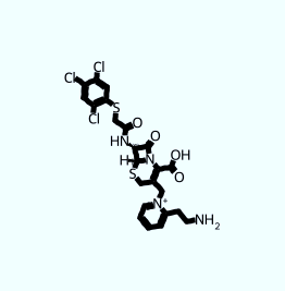 NCCc1cccc[n+]1CC1=C(C(=O)O)N2C(=O)[C@H](NC(=O)CSc3cc(Cl)c(Cl)cc3Cl)[C@H]2SC1